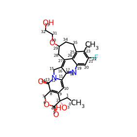 CC[C@@]1(O)C(=O)OCc2c1cc1n(c2=O)Cc2c-1nc1cc(F)c(C)c3c1c2CC(OCCO)CC3